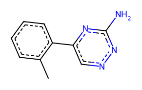 Cc1ccccc1-c1cnnc(N)n1